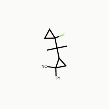 CC(C)C1(C#N)CC1C(C)(C)C1(F)CC1